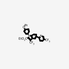 CCOC(=O)c1c(C(F)(F)F)c2cc(-c3ccc(C(F)(F)F)cn3)ccc2n1-c1ccc(OC(C)C)cc1